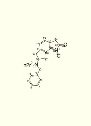 CCCN(Cc1ccccc1)C1Cc2ccc3c(c2C1)[N+](=O)C(=O)C3